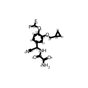 N#CC(NC(=O)C(N)=O)c1ccc(OC(F)F)c(OCC2CC2)c1